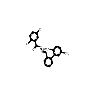 O=C(N/N=C/c1ccccc1-c1cc(C(F)(F)F)ccc1S(=O)(=O)O)c1cc(Cl)ccc1Cl